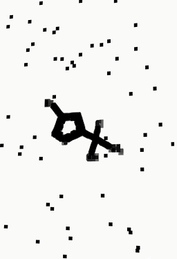 NC(O)(Cl)c1cc(Br)cs1